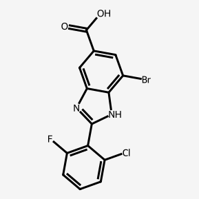 O=C(O)c1cc(Br)c2[nH]c(-c3c(F)cccc3Cl)nc2c1